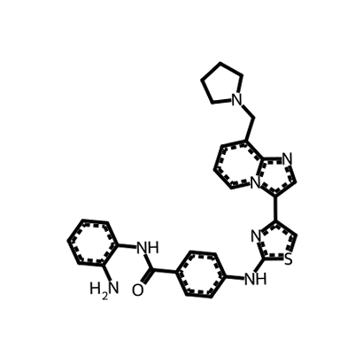 Nc1ccccc1NC(=O)c1ccc(Nc2nc(-c3cnc4c(CN5CCCC5)cccn34)cs2)cc1